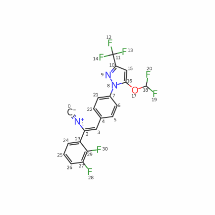 [C-]#[N+]C(=Cc1ccc(-n2nc(C(F)(F)F)cc2OC(F)F)cc1)c1cccc(F)c1F